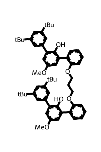 COc1cc(-c2cc(C(C)(C)C)cc(C(C)(C)C)c2)c(O)c(-c2ccccc2OCCCOc2ccccc2-c2cc(OC)cc(-c3cc(C(C)(C)C)cc(C(C)(C)C)c3)c2O)c1